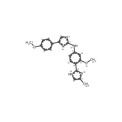 COc1ccc(-c2csc(Nc3ccc(-c4nc(C)c[nH]4)c(OC)c3)n2)cc1